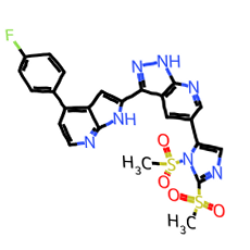 CS(=O)(=O)c1ncc(-c2cnc3[nH]nc(-c4cc5c(-c6ccc(F)cc6)ccnc5[nH]4)c3c2)n1S(C)(=O)=O